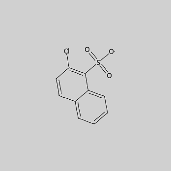 [O]S(=O)(=O)c1c(Cl)ccc2ccccc12